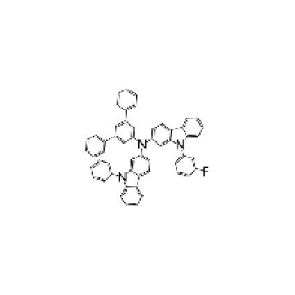 Fc1cccc(-n2c3ccccc3c3ccc(N(c4cc(-c5ccccc5)cc(-c5ccccc5)c4)c4ccc5c6ccccc6n(-c6ccccc6)c5c4)cc32)c1